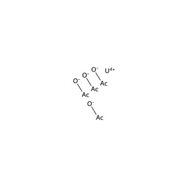 CC(=O)[O-].CC(=O)[O-].CC(=O)[O-].CC(=O)[O-].[U+4]